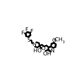 COc1ccc2ncc(CO)c(CCCC3(C(=O)O)CCN(CCSc4cc(F)c(F)c(F)c4)CC3)c2c1